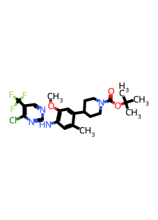 COc1cc(C2CCN(C(=O)OC(C)(C)C)CC2)c(C)cc1Nc1ncc(C(F)(F)F)c(Cl)n1